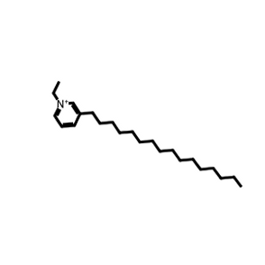 CCCCCCCCCCCCCCCCc1ccc[n+](CC)c1